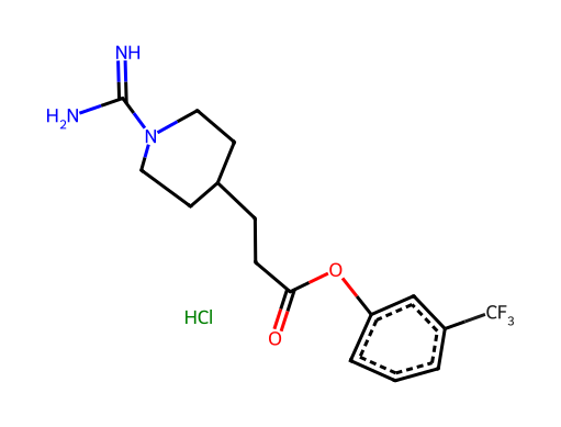 Cl.N=C(N)N1CCC(CCC(=O)Oc2cccc(C(F)(F)F)c2)CC1